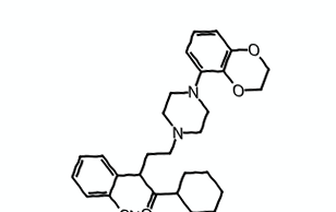 N#Cc1ccccc1C(CCN1CCN(c2cccc3c2OCCO3)CC1)C(=O)C1CCCCC1